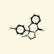 CC(=O)N1CCN2C(=O)c3ccccc3CC12c1ccc(Cl)cc1